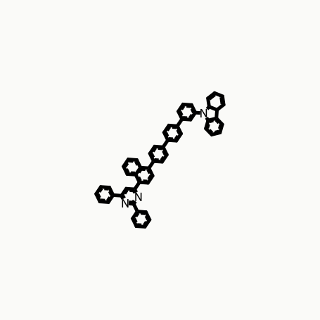 C1=CC2c3ccccc3N(c3cccc(-c4ccc(-c5ccc(-c6ccc(-c7cc(-c8ccccc8)nc(-c8ccccc8)n7)c7ccccc67)cc5)cc4)c3)C2C=C1